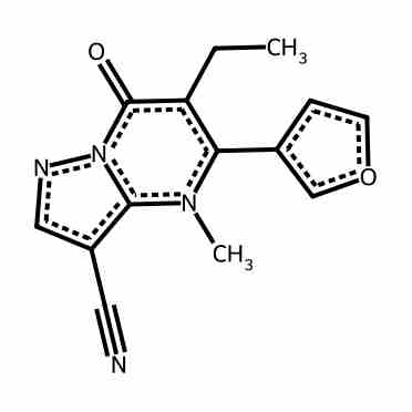 CCc1c(-c2ccoc2)n(C)c2c(C#N)cnn2c1=O